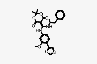 COc1cc(NC(NC(C)Cc2ccccc2)=C2C(=O)OC(C)(C)OC2=O)ccc1-c1cnco1